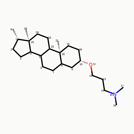 C[C@H]1CCC2C3CCC4C[C@@H](OCCCN(C)C)CC[C@]4(C)C3CC[C@@]21C